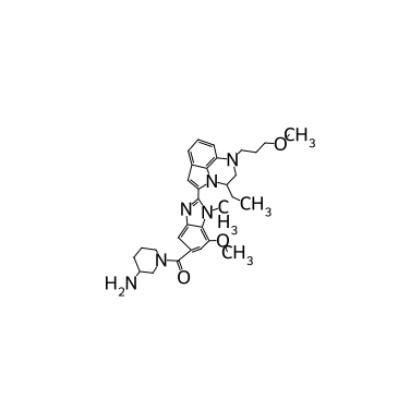 CCC1CN(CCCOC)c2cccc3cc(-c4nc5cc(C(=O)N6CCCC(N)C6)cc(OC)c5n4C)n1c23